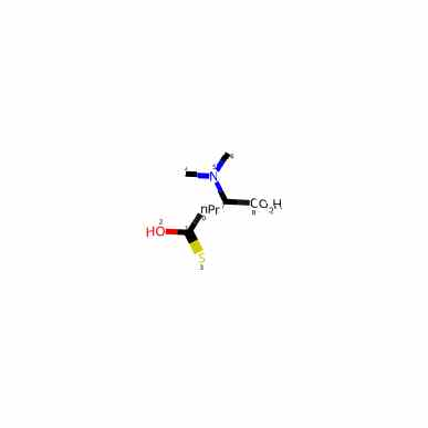 CCCC(O)=S.CN(C)CC(=O)O